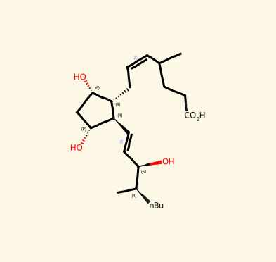 CCCC[C@@H](C)[C@H](O)/C=C/[C@@H]1[C@@H](C/C=C\C(C)CCC(=O)O)[C@@H](O)C[C@H]1O